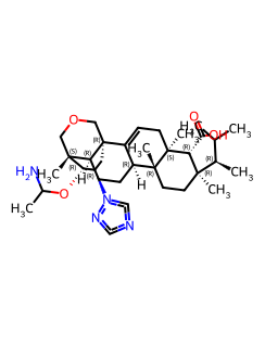 CC(N)O[C@H]1[C@H](n2cncn2)C[C@@]23COC[C@]1(C)[C@@H]2CC[C@H]1C3=CC[C@@]2(C)[C@H](C(=O)O)[C@@](C)([C@H](C)C(C)C)CC[C@]12C